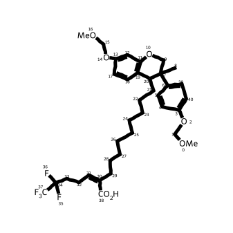 COCOc1ccc(C2(C)COc3cc(OCOC)ccc3C2CCCCCCCCCC(=CCCC(F)(F)C(F)(F)F)C(=O)O)cc1